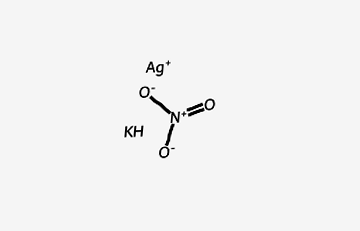 O=[N+]([O-])[O-].[Ag+].[KH]